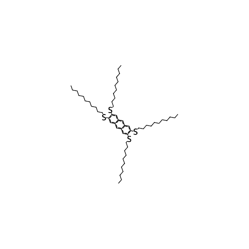 CCCCCCCCCCCSc1cc2cc3cc(SCCCCCCCCCCC)c(SCCCCCCCCCCC)cc3cc2cc1SCCCCCCCCCCC